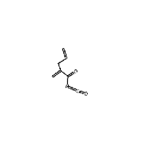 C=CCC(=C)C(=O)N=C=O